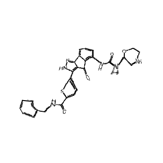 O=C(Nc1cccc2c1C(=O)c1c-2n[nH]c1-c1ccc(C(=O)NCc2ccccc2)s1)NC1CNCCO1